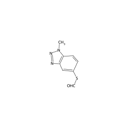 Cn1nnc2cc(SC=O)ccc21